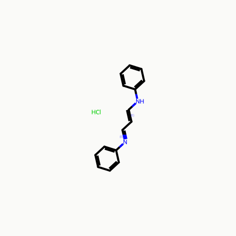 C(=C\Nc1ccccc1)/C=N/c1ccccc1.Cl